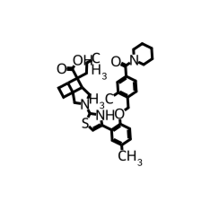 CCCC1(C(=O)O)C2CCC23CN(C2NC(c4cc(C)ccc4OCc4ccc(C(=O)N5CCCCC5)cc4C)=CS2)CC31